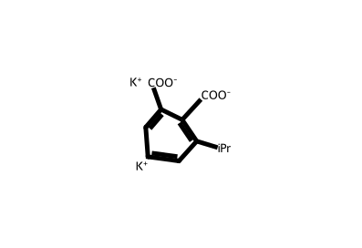 CC(C)c1cccc(C(=O)[O-])c1C(=O)[O-].[K+].[K+]